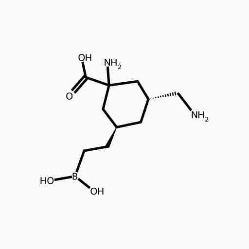 NC[C@@H]1C[C@@H](CCB(O)O)CC(N)(C(=O)O)C1